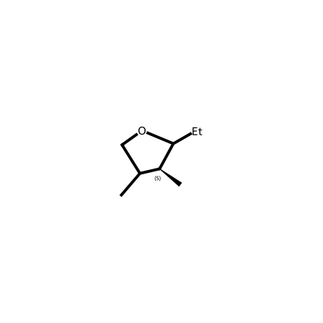 CCC1OCC(C)[C@@H]1C